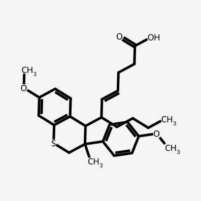 CCCCC(C=CCCC(=O)O)C1c2ccc(OC)cc2SCC1(C)c1ccc(OC)cc1